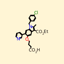 CCOC(=O)c1c(C)n(Cc2ccc(Cl)cc2)c2cc(-c3cccnc3)c(OCCCC(=O)O)cc12